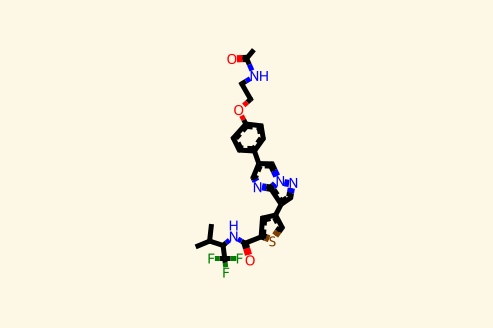 CC(=O)NCCOc1ccc(-c2cnc3c(-c4csc(C(=O)NC(C(C)C)C(F)(F)F)c4)cnn3c2)cc1